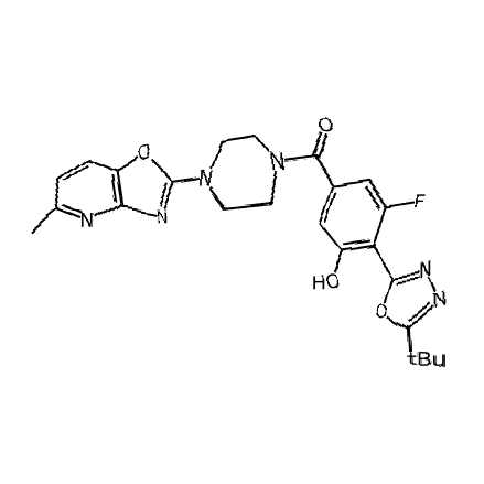 Cc1ccc2oc(N3CCN(C(=O)c4cc(O)c(-c5nnc(C(C)(C)C)o5)c(F)c4)CC3)nc2n1